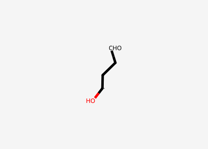 O=CCC[CH]O